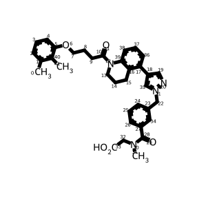 Cc1cccc(OCCCC(=O)N2CCCc3c(-c4cnn(Cc5cccc(C(=O)N(C)CC(=O)O)c5)c4)cccc32)c1C